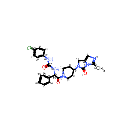 Cc1ncc2n1C(=O)N(C1CCN(C(=O)[C@H](NC(=O)Nc3ccc(Cl)cc3)c3ccccc3)CC1)C2